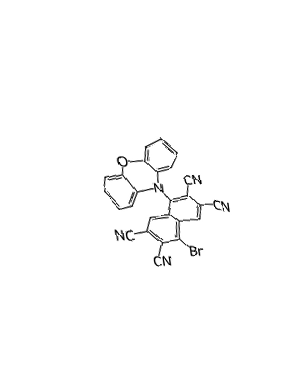 N#Cc1cc2c(N3c4ccccc4Oc4ccccc43)c(C#N)c(C#N)cc2c(Br)c1C#N